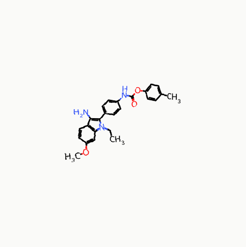 CCn1c(-c2ccc(NC(=O)Oc3ccc(C)cc3)cc2)c(N)c2ccc(OC)cc21